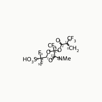 C=C(C(=O)OC(OCC(F)(F)S(=O)(=O)O)(C(=O)NC)C(F)(F)F)C(F)(F)F